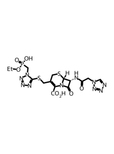 CCOP(=O)(O)Cn1nnnc1SCC1=C(C(=O)O)N2C(=O)[C@@H](NC(=O)Cn3cnnn3)[C@H]2SC1